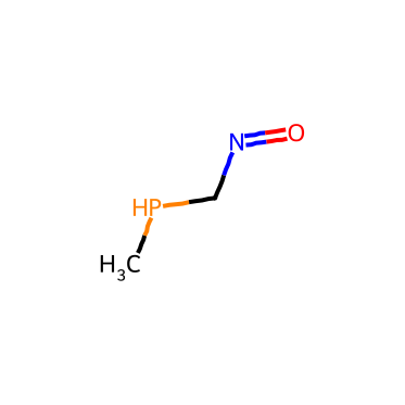 CPCN=O